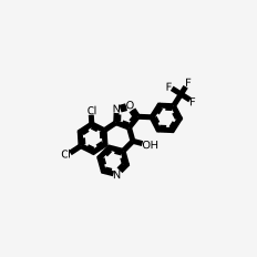 OC(c1cccnc1)c1c(-c2ccc(Cl)cc2Cl)noc1-c1cccc(C(F)(F)F)c1